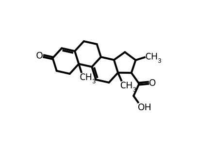 CC1CC2C3CCC4=CC(=O)CCC4(C)C3=CCC2(C)C1C(=O)CO